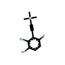 C[Si](C)(C)C#Cc1c(F)ccc(Br)c1Br